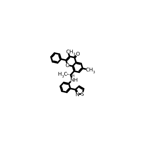 Cc1cc([C@@H](C)Nc2ccccc2-c2ccsn2)c2oc(-c3ccccc3)c(C)c(=O)c2c1